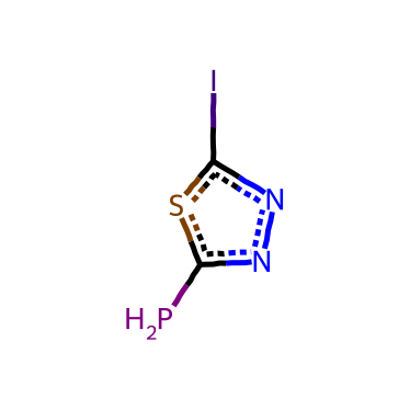 Pc1nnc(I)s1